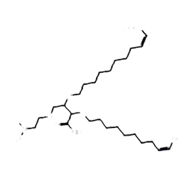 CCCCCCCC/C=C\CCCCCCCCOC(COCCN(CC)CC)C(OCCCCCCCC/C=C\CCCCCCCC)C(N)=O